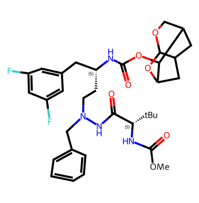 COC(=O)N[C@H](C(=O)NN(CC[C@H](Cc1cc(F)cc(F)c1)NC(=O)OC1C2COC3OC1CC3C2)Cc1ccccc1)C(C)(C)C